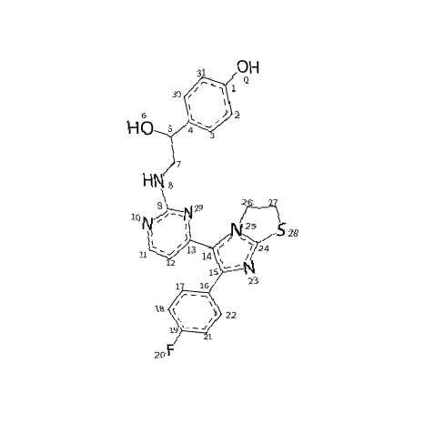 Oc1ccc(C(O)CNc2nccc(-c3c(-c4ccc(F)cc4)nc4n3CCS4)n2)cc1